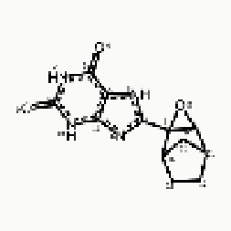 O=c1[nH]c(=O)c2[nH]c(C34OC3C3CCC4C3)nc2[nH]1